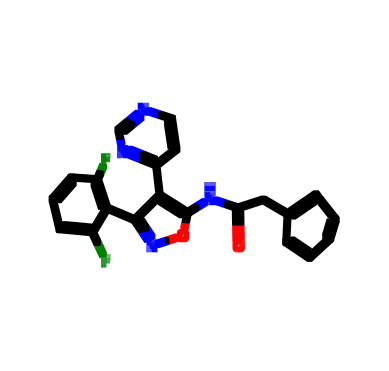 O=C(Cc1ccccc1)Nc1onc(-c2c(F)cccc2F)c1-c1ccncn1